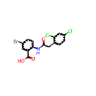 O=C(Cc1ccc(Cl)cc1Cl)Nc1ccc(Br)cc1C(=O)O